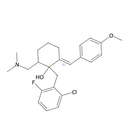 COc1ccc(/C=C2\CCCC(CN(C)C)C2(O)Cc2c(F)cccc2Cl)cc1